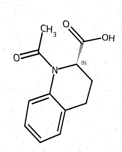 CC(=O)N1c2ccccc2CC[C@H]1C(=O)O